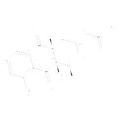 COC(=O)C[C@H]1C[C@@]2(O)C(=O)c3cccc(O)c3C(=O)[C@@]2(O)[C@H](C)O1